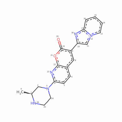 C[C@H]1CN(c2ccc3cc(-c4cn5ccccc5n4)c(=O)oc3n2)CCN1